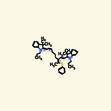 CCCN1/C(=C/C=C\CCCC(/C=C/C2=[N+](CCC)c3ccccc3C2(C)C)=C(\C)Sc2ccccc2)C(C)(C)c2ccccc21